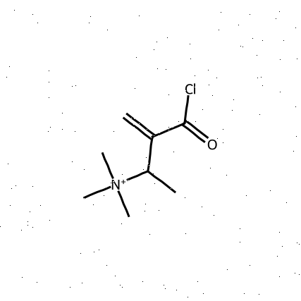 C=C(C(=O)Cl)C(C)[N+](C)(C)C